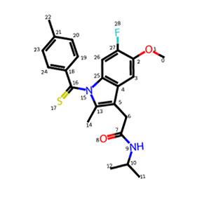 COc1cc2c(CC(=O)NC(C)C)c(C)n(C(=S)c3ccc(C)cc3)c2cc1F